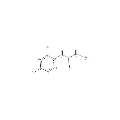 CCCNC(=S)Nc1ccc(C)cc1C